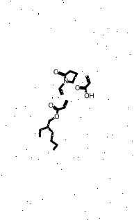 C=CC(=O)O.C=CC(=O)OCC(CC)CCCC.C=CN1CCCC1=O